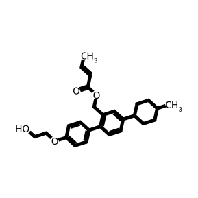 C/C=C/C(=O)OCc1cc(C2CCC(C)CC2)ccc1-c1ccc(OCCO)cc1